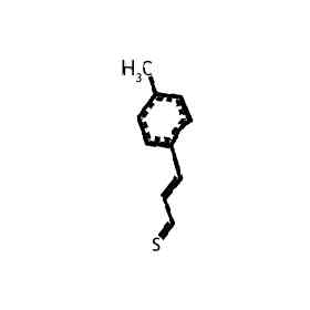 Cc1ccc(/C=C/C=S)cc1